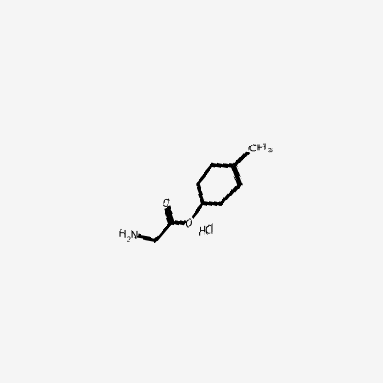 CC1CCC(OC(=O)CN)CC1.Cl